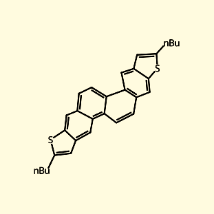 CCCCc1cc2cc3c(ccc4c5cc6cc(CCCC)sc6cc5ccc34)cc2s1